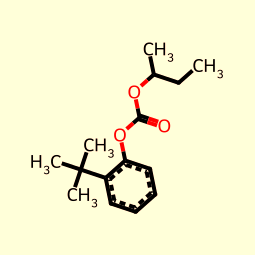 CCC(C)OC(=O)Oc1ccccc1C(C)(C)C